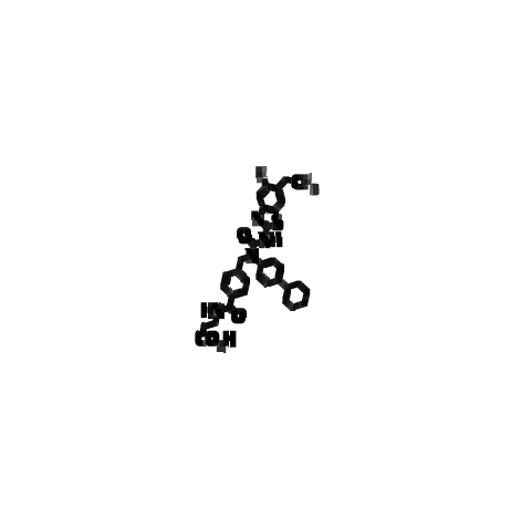 O=C(O)CCNC(=O)c1ccc(CN(C(=O)Nc2nc3cc(F)c(CC(F)(F)F)cc3s2)c2ccc(C3=CCCCC3)cc2)cc1